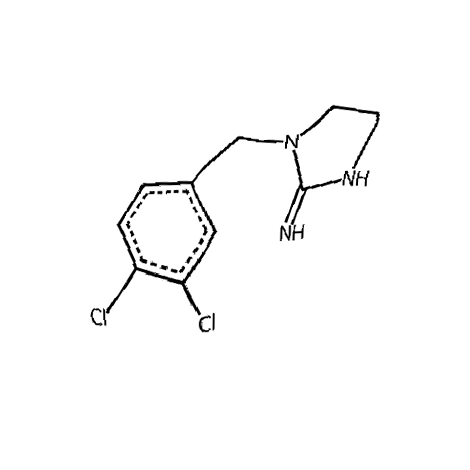 N=C1NCCN1Cc1ccc(Cl)c(Cl)c1